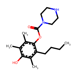 CCCCc1c(C)c(O)c(C)c(C)c1OC(=O)N1CCNCC1